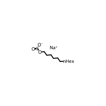 CCCCCCCCCCCCOS(=O)[O-].[Na+]